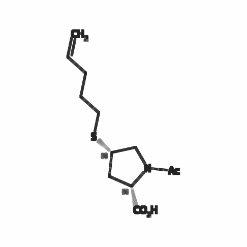 C=CCCCS[C@H]1C[C@@H](C(=O)O)N(C(C)=O)C1